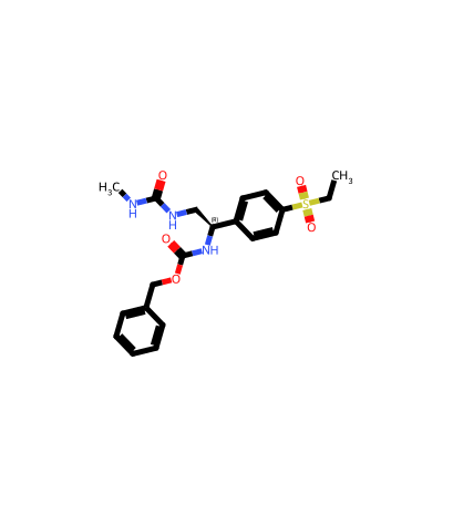 CCS(=O)(=O)c1ccc([C@H](CNC(=O)NC)NC(=O)OCc2ccccc2)cc1